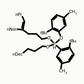 CCCC=C(CCCCCCCCC)CCCO[PH](OCCCCCCCCCCCCC)(Oc1cc(C)ccc1C(C)(C)C)c1cc(C)ccc1C(C)(C)C